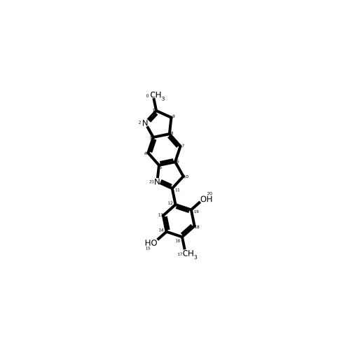 CC1=Nc2cc3c(cc2C1)CC(c1cc(O)c(C)cc1O)=N3